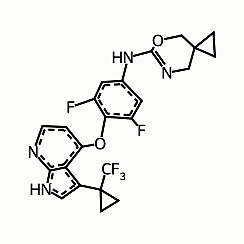 Fc1cc(NC2=NCC3(CC3)CO2)cc(F)c1Oc1ccnc2[nH]cc(C3(C(F)(F)F)CC3)c12